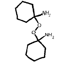 NC1(OOC2(N)CCCCC2)CCCCC1